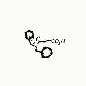 O=C(O)CC[C@@H](C(=O)O)N(Cc1ccccc1)Cc1ccccc1